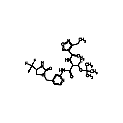 CCc1nonc1C(=O)N[C@H](C(=O)Nc1cc(CN2C[C@@H](C(F)(F)F)NC2=O)ccn1)[C@@H](C)OC(C)(C)C